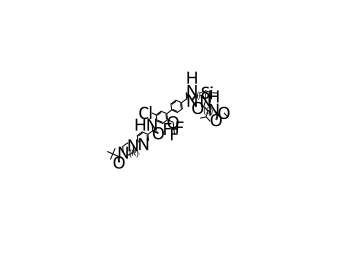 COC(=O)N[C@H](C(=O)N1C[Si](C)(C)C[C@H]1c1nc(-c2ccc(-c3cc(Cl)c(NC(=O)c4ccc(N5CCN(C(=O)C(C)(C)C)C[C@H]5C)nc4)cc3OC(F)(F)F)cc2)c[nH]1)C(C)C